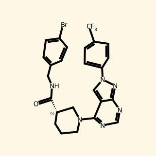 O=C(NCc1ccc(Br)cc1)[C@H]1CCCN(c2ncnc3nn(-c4ccc(C(F)(F)F)cc4)cc23)C1